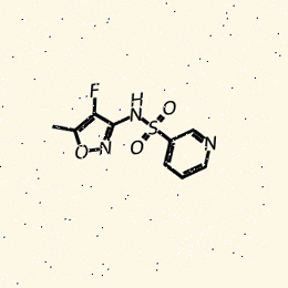 Cc1onc(NS(=O)(=O)c2cccnc2)c1F